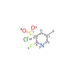 Cc1cnc(F)c(S(=O)(=O)Cl)c1